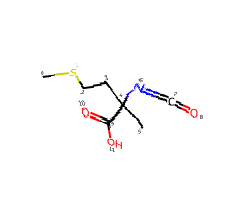 CSCCC(C)(N=C=O)C(=O)O